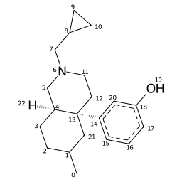 CC1CC[C@H]2CN(CC3CC3)CC[C@@]2(c2cccc(O)c2)C1